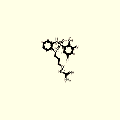 N=C(N)NOCCCOc1ccccc1NS(=O)(=O)c1cc(Cl)cc(Cl)c1O